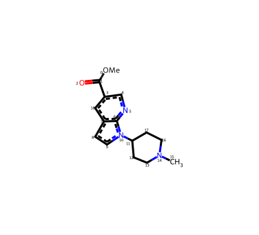 COC(=O)c1cnc2c(ccn2C2CCN(C)CC2)c1